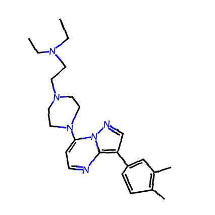 CCN(CC)CCN1CCN(c2ccnc3c(-c4ccc(C)c(C)c4)cnn23)CC1